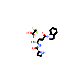 CC[C@@H](C=CC(=O)N1CCc2ccccc21)NC(=O)[C@@H]1CCN1.O=C(O)C(F)(F)F